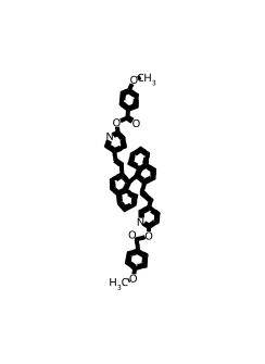 COc1ccc(C(=O)Oc2ccc(/C=C/c3ccc4ccccc4c3-c3c(/C=C/c4ccc(OC(=O)c5ccc(OC)cc5)nc4)ccc4ccccc34)cn2)cc1